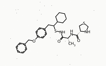 C[C@@H](NC(=O)[C@@H]1CSCN1)C(=O)NSC(Cc1ccc(OCc2ccccc2)cc1)C1CCCCC1